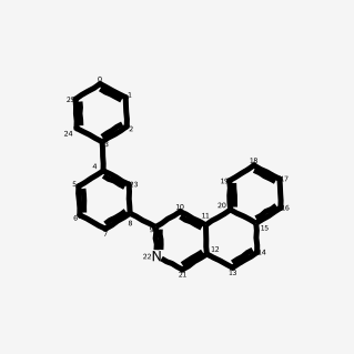 c1ccc(-c2cccc(-c3cc4c(ccc5ccccc54)cn3)c2)cc1